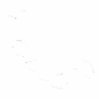 COC(=O)COc1ccc(C(C)(C)COCc2cccc(Oc3ccccc3)c2)cc1